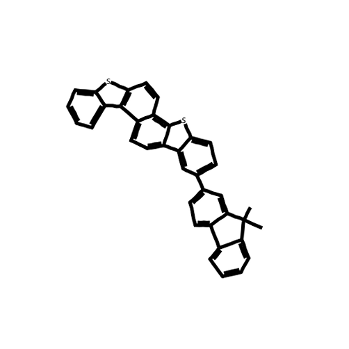 CC1(C)c2ccccc2-c2ccc(-c3ccc4sc5c(ccc6c5ccc5sc7ccccc7c56)c4c3)cc21